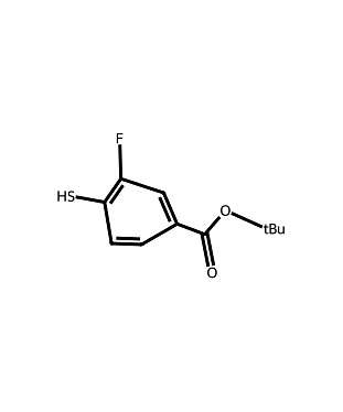 CC(C)(C)OC(=O)c1ccc(S)c(F)c1